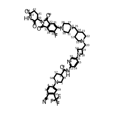 N#Cc1ccc(N2CCC(C(=O)Nc3ccc(N4CC(CN5CCC(CN6CCN(c7cc8c(cc7F)C(=O)N(C7CCC(=O)NC7=O)C8=O)CC6)CC5)C4)cn3)CC2)cc1C(F)(F)F